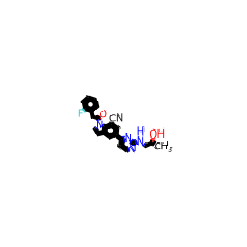 CC(O)CNc1nccc(-c2cc(C#N)c3c(c2)CCN3C(=O)Cc2ccccc2F)n1